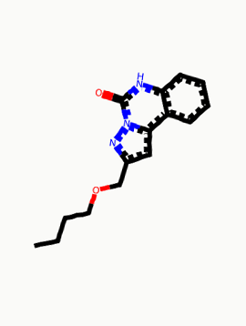 CCCCOCc1cc2c3ccccc3[nH]c(=O)n2n1